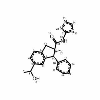 CC(O)c1ccc2c(c1)[C@H](c1ccccc1)[C@](C)(C(=O)Nc1nncs1)C2